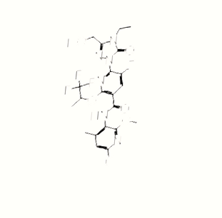 CCn1c(CO)nn(-c2nc(OC(C)C(F)(F)F)c(C(=O)Nc3c(C)cc(Cl)nc3OC)cc2F)c1=O